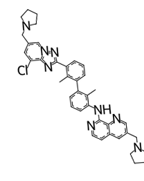 Cc1c(Nc2nccc3cc(CN4CCCC4)cnc23)cccc1-c1cccc(-c2nc3c(Cl)cc(CN4CCCC4)cn3n2)c1C